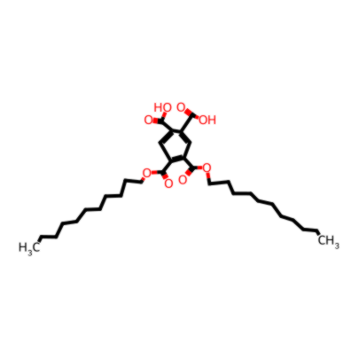 CCCCCCCCCCCOC(=O)c1cc(C(=O)O)c(C(=O)O)cc1C(=O)OCCCCCCCCCCC